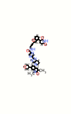 Cc1cc2c(N3CCCc4nc(-c5cnc(C(=O)NCC#Cc6cc7c(C8CCC(=O)NC8=O)cccc7o6)cn5)ncc43)cc(C3CCOCC3)cc2n(C)c1=O